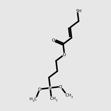 CO[Si](C)(CCCOC(=O)C=CCS)OC